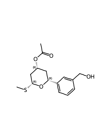 CS[C@@H]1C[C@H](OC(C)=O)C[C@H](c2cccc(CO)c2)O1